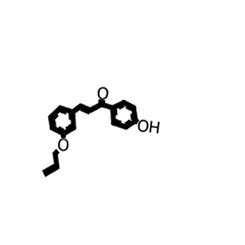 C=CCOc1cccc(/C=C/C(=O)c2ccc(O)cc2)c1